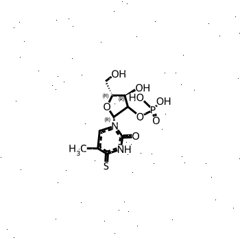 Cc1cn([C@@H]2O[C@H](CO)[C@@H](O)C2OP(=O)(O)O)c(=O)[nH]c1=S